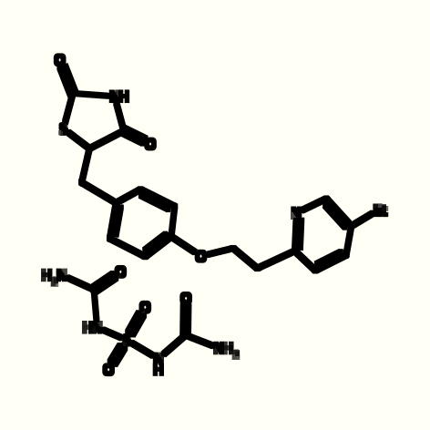 CCc1ccc(CCOc2ccc(CC3SC(=O)NC3=O)cc2)nc1.NC(=O)NS(=O)(=O)NC(N)=O